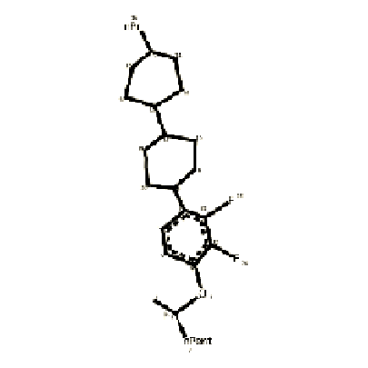 CCCCC[C@@H](C)Oc1ccc(C2CCC(C3CCC(CCC)CC3)CC2)c(F)c1F